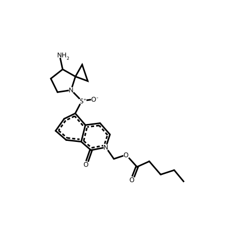 CCCCC(=O)OCn1ccc2c([S+]([O-])N3CCC(N)C34CC4)cccc2c1=O